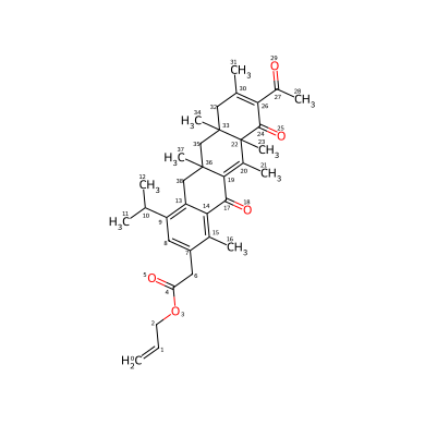 C=CCOC(=O)Cc1cc(C(C)C)c2c(c1C)C(=O)C1=C(C)C3(C)C(=O)C(C(C)=O)=C(C)CC3(C)CC1(C)C2